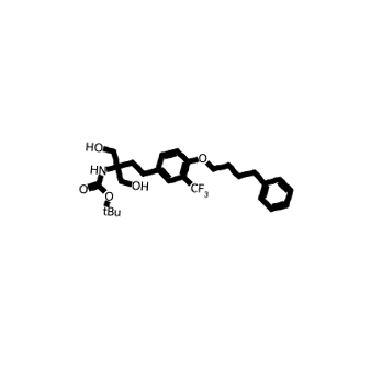 CC(C)(C)OC(=O)NC(CO)(CO)CCc1ccc(OCCCCc2ccccc2)c(C(F)(F)F)c1